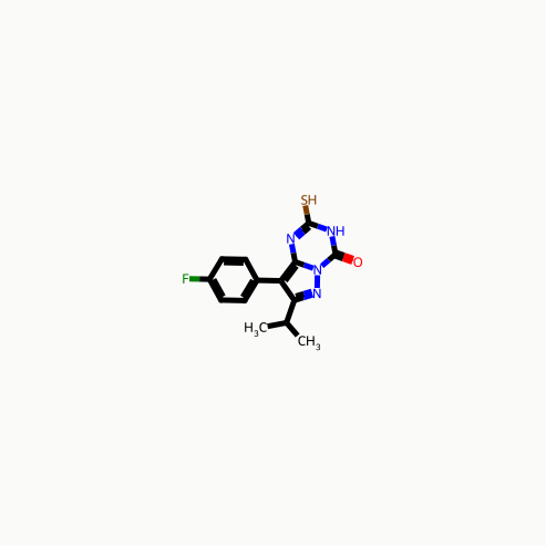 CC(C)c1nn2c(=O)[nH]c(S)nc2c1-c1ccc(F)cc1